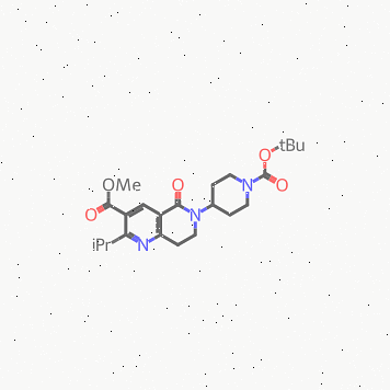 COC(=O)c1cc2c(nc1C(C)C)CCN(C1CCN(C(=O)OC(C)(C)C)CC1)C2=O